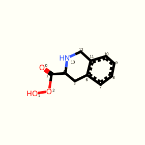 O=C(OO)C1Cc2ccccc2CN1